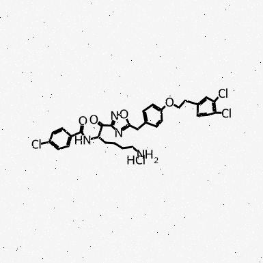 Cl.NCCCCC(NC(=O)c1ccc(Cl)cc1)C(=O)c1noc(Cc2ccc(OCCc3ccc(Cl)c(Cl)c3)cc2)n1